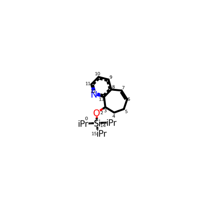 CC(C)[Si](OC1CCC=Cc2cccnc21)(C(C)C)C(C)C